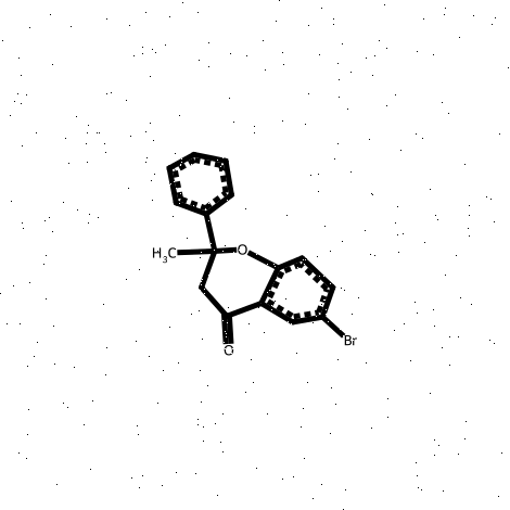 CC1(c2ccccc2)CC(=O)c2cc(Br)ccc2O1